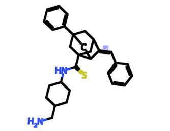 NCC1CCC(NC(=S)C23CC4CC(c5ccccc5)(CC2/C4=C\c2ccccc2)C3)CC1